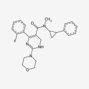 CN(C(=O)C1=C(c2ccccc2F)N=C(N2CCOCC2)NC1)C1CC1c1ccccc1